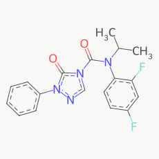 CC(C)N(C(=O)n1cnn(-c2ccccc2)c1=O)c1ccc(F)cc1F